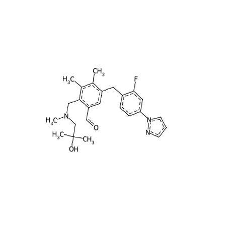 Cc1c(Cc2ccc(-n3cccn3)cc2F)cc(C=O)c(CN(C)CC(C)(C)O)c1C